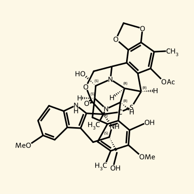 COc1ccc2[nH]c3c(c2c1)C[C@@H](CO)N[C@]31CS[C@@H]2c3c(OC(C)=O)c(C)c4c(c3C(COC1=O)N1[C@@H]2[C@H]2c3c(cc(C)c(OC)c3O)C[C@@H]([C@@H]1O)N2C)OCO4